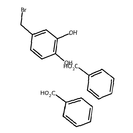 O=C(O)c1ccccc1.O=C(O)c1ccccc1.Oc1ccc(CBr)cc1O